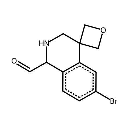 O=CC1NCC2(COC2)c2cc(Br)ccc21